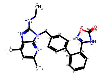 CCNc1nc2c(C)cc(C)nc2n1Cc1ccc(-c2ccccc2-c2noc(=O)[nH]2)cc1